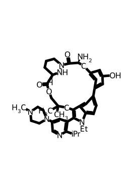 CCn1c(-c2cc(N3CCN(C)CC3)cnc2C(C)C)c2c3cc(ccc31)-c1cc(O)cc(c1)C[C@H](N)C(=O)N1CCC[C@H](N1)C(=O)OCC(C)(C)C2